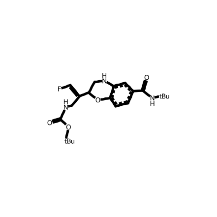 CC(C)(C)NC(=O)c1ccc2c(c1)NCC(C(=CF)CNC(=O)OC(C)(C)C)O2